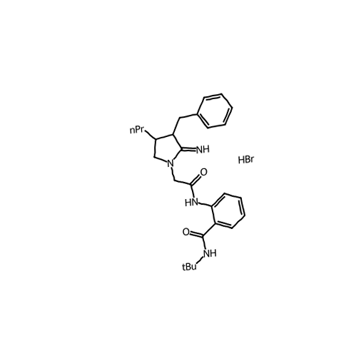 Br.CCCC1CN(CC(=O)Nc2ccccc2C(=O)NC(C)(C)C)C(=N)C1Cc1ccccc1